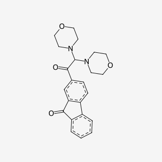 O=C1c2ccccc2-c2ccc(C(=O)C(N3CCOCC3)N3CCOCC3)cc21